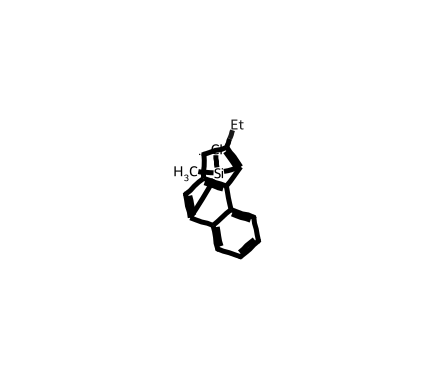 CCC1=C2c3c(cc(c4ccccc34)[Si]2(C)C)[CH]1